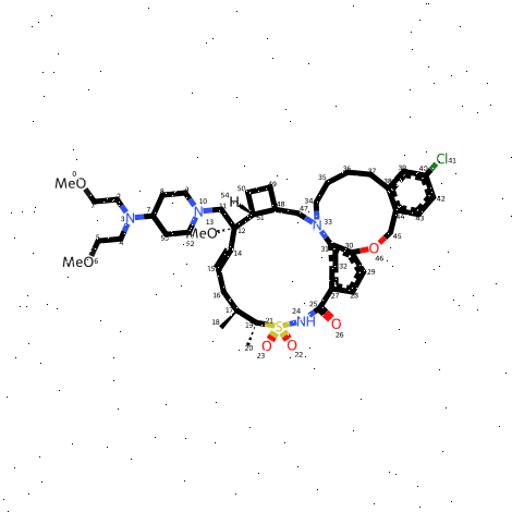 COCCN(CCOC)C1CCN(C[C@]2(OC)/C=C/C[C@H](C)[C@@H](C)S(=O)(=O)NC(=O)c3ccc4c(c3)N(CCCCc3cc(Cl)ccc3CO4)CC3CC[C@H]32)CC1